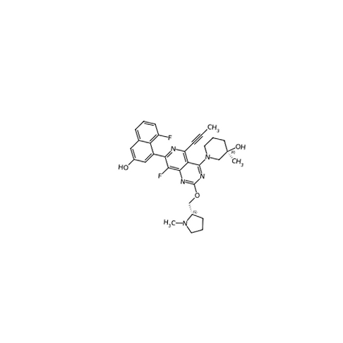 CC#Cc1nc(-c2cc(O)cc3cccc(F)c23)c(F)c2nc(OC[C@@H]3CCCN3C)nc(N3CCC[C@@](C)(O)C3)c12